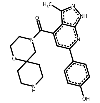 Cc1n[nH]c2nc(-c3ccc(O)cc3)cc(C(=O)N3CCOC4(CCNCC4)C3)c12